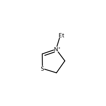 CC[N+]1=CSCC1